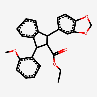 CCOC(=O)C1C(c2ccc3c(c2)OCO3)c2ccccc2C1c1ccccc1OC